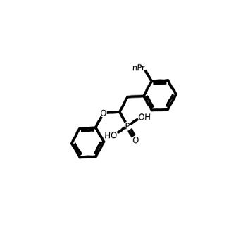 CCCc1ccccc1CC(Oc1ccccc1)P(=O)(O)O